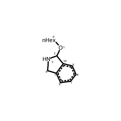 CCCCCCOC1NCc2ccccc21